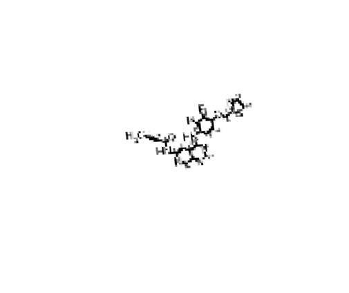 CC#CC(=O)Nc1cc2c(Nc3ccc(OCc4nccs4)c(F)c3F)ncnc2cn1